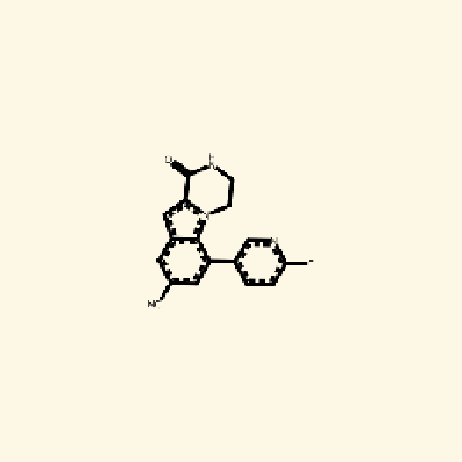 N#Cc1cc(-c2ccc(F)nc2)c2c(c1)cc1n2CCNC1=O